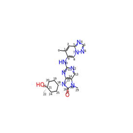 Cc1cc2ncnn2cc1Nc1ncc2c(n1)n([C@H]1CC[C@](C)(O)CC1)c(=O)n2C